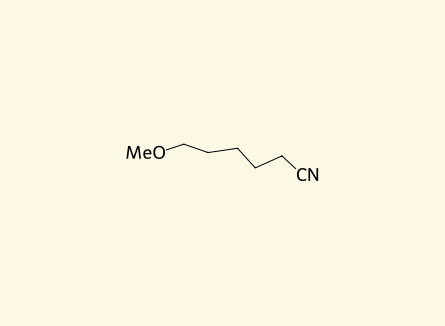 [CH2]OCCCCCC#N